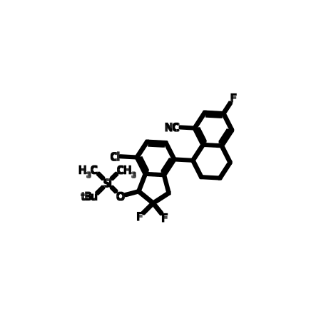 CC(C)(C)[Si](C)(C)OC1c2c(Cl)ccc(C3CCCc4cc(F)cc(C#N)c43)c2CC1(F)F